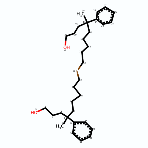 CC(CCCO)(CCCCCSCCCCCC(C)(CCCO)c1ccccc1)c1ccccc1